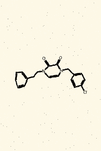 O=c1c(=O)n(Cc2ccc(Cl)cc2)ccn1CCc1ccccc1